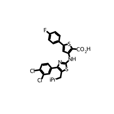 CC(C)Cc1sc(Nc2cc(-c3ccc(F)cc3)sc2C(=O)O)nc1-c1ccc(Cl)c(Cl)c1